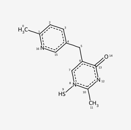 Cc1ccc(Cc2cn(S)c(C)nc2=O)cn1